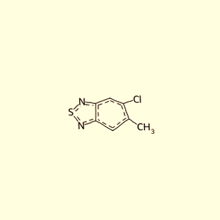 Cc1cc2nsnc2cc1Cl